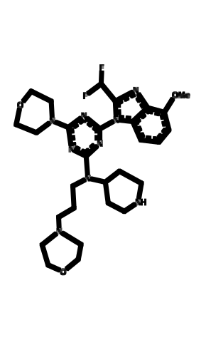 COc1cccc2c1nc(C(F)F)n2-c1nc(N2CCOCC2)nc(N(CCCN2CCOCC2)C2CCNCC2)n1